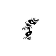 O=c1[nH]c(-c2ccc([N+](=O)[O-])cc2)nn1-c1ccc(OC(F)(F)F)cc1